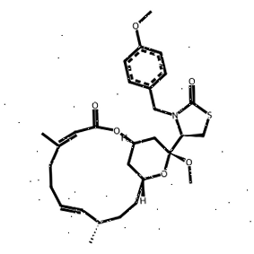 COc1ccc(CN2C(=O)SC[C@H]2[C@@]2(OC)C[C@H]3C[C@@H](CC[C@H](C)/C=C/CC/C(C)=C\C(=O)O3)O2)cc1